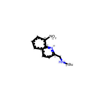 CC(C)(C)NCc1ccc2cccc([N+](=O)[O-])c2n1